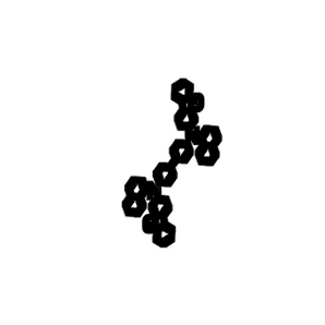 c1ccc2c(N(c3ccc(-c4ccc(N(c5ccc6c(c5)oc5ccccc56)c5cccc6ccccc56)cc4)cc3)c3ccc4c(c3)oc3ccccc34)cccc2c1